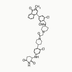 COc1cc(-c2cn(C)c(=O)c3ccccc23)cc(Cl)c1CC1CCN(CC(=O)N2CCC(c3ccc(NC4CCC(=O)NC4=O)cc3Cl)CC2)CC1